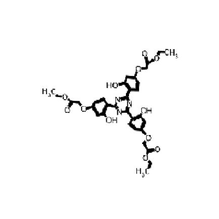 CCOC(=O)COc1ccc(-c2nc(-c3ccc(OCC(=O)OCC)cc3O)nc(-c3ccc(OCC(=O)OCC)cc3O)n2)c(O)c1